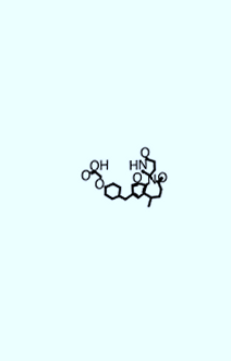 CC1CCC(=O)N(C2CCC(=O)NC2=O)c2ccc(CC3CCC(OCC(=O)O)CC3)cc21